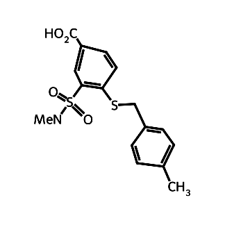 CNS(=O)(=O)c1cc(C(=O)O)ccc1SCc1ccc(C)cc1